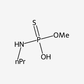 CCCNP(O)(=S)OC